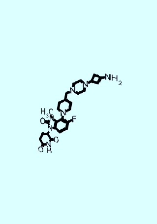 Cn1c(=O)n(C2CCC(=O)NC2=O)c2ccc(F)c(N3CCC(CN4CCN(C5CC(N)C5)CC4)CC3)c21